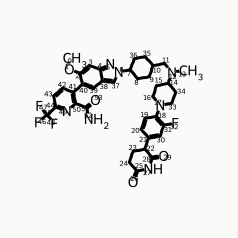 COc1cc2nn(C3CCC(CN(C)C4CCN(c5ccc(C6CCC(=O)NC6=O)cc5F)CC4)CC3)cc2cc1-c1ccc(C(F)(F)F)nc1C(N)=O